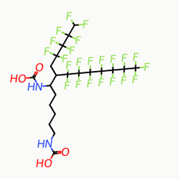 O=C(O)NCCCCCC(NC(=O)O)C(CC(F)(F)C(F)(F)C(F)(F)C(F)F)C(F)(F)C(F)(F)C(F)(F)C(F)(F)C(F)(F)C(F)(F)C(F)(F)F